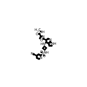 CNC(=O)c1coc(-c2cnc3[nH]ccc3c2N[C@H]2C[C@@H](NS(=O)(=O)c3cc(C#N)ccn3)C2)n1